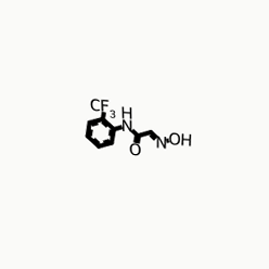 O=C(C=NO)Nc1ccccc1C(F)(F)F